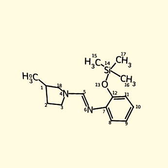 CC1CCN(C=Nc2ccccc2O[Si](C)(C)C)C1